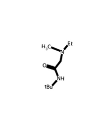 CCN(C)CC(=O)NC(C)(C)C